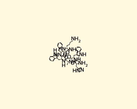 Cc1[nH]c2ccccc2c1C[C@@H](NC(=O)[C@@H](N)Cc1cnc[nH]1)C(=O)N[C@@H](C)C(=O)N[C@@H](Cc1c[nH]c2ccccc12)C(=O)NC(Cc1ccccc1)C(=O)N[C@@H](CCCCN)C(N)=O